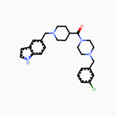 O=C(C1CCN(Cc2ccc3[nH]ccc3c2)CC1)N1CCN(Cc2cccc(Cl)c2)CC1